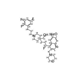 COc1ccc2ncc(CN3CCOCC3)c([C@H](F)CCC3(CO)CCN(CCCc4cc(F)cc(F)c4F)CC3)c2c1